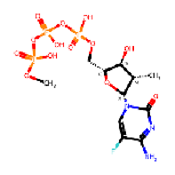 COP(=O)(O)OP(=O)(O)OP(=O)(O)OC[C@H]1O[C@@H](n2cc(F)c(N)nc2=O)[C@@H](C)[C@@H]1O